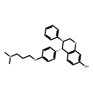 CN(C)CCCOc1ccc([C@H]2c3ccc(O)cc3OC[C@@H]2c2ccccc2)cc1